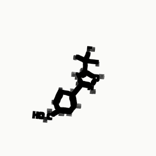 CC(C)(F)c1nc(-c2ccc(C(=O)O)cc2)no1